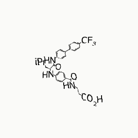 CC(C)C[C@H](Nc1ccc(C(=O)NCCC(=O)O)cc1)C(=O)Nc1ccc(-c2ccc(C(F)(F)F)cc2)cc1